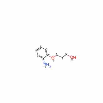 Nc1ccccc1OCCCO